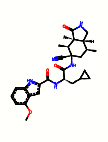 COc1cccc2[nH]c(C(=O)N[C@@H](CC3CC3)C(=O)N[C@@]3(C#N)C[C@H](C)[C@H]4CNC(=O)[C@@H]4[C@@H]3C)cc12